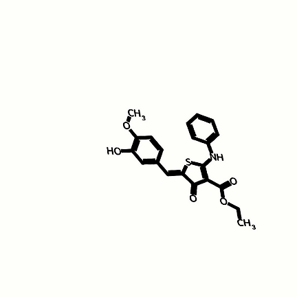 CCOC(=O)C1=C(Nc2ccccc2)S/C(=C\c2ccc(OC)c(O)c2)C1=O